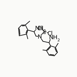 Cc1cccc(C)c1C(N)C[N](CC(N)c1c(C)cccc1C)[Ir]([Cl])[Cl]